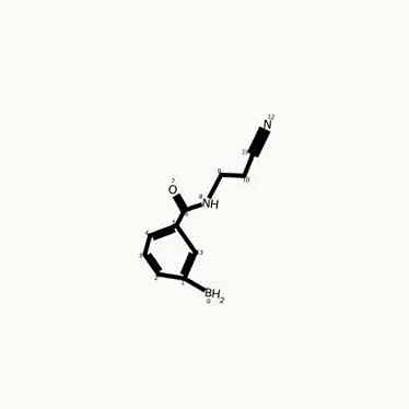 Bc1cccc(C(=O)NCCC#N)c1